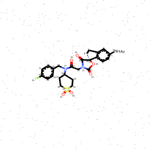 CC(=O)Nc1ccc2c(c1)CC[C@@]21OC(=O)N(CC(=O)N(Cc2ccc(F)cc2)C2CCS(=O)(=O)CC2)C1=O